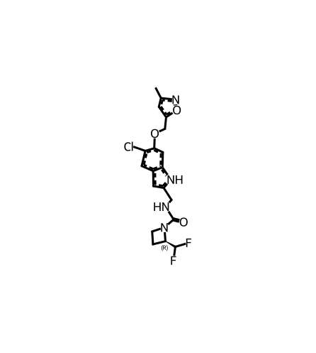 Cc1cc(COc2cc3[nH]c(CNC(=O)N4CC[C@@H]4C(F)F)cc3cc2Cl)on1